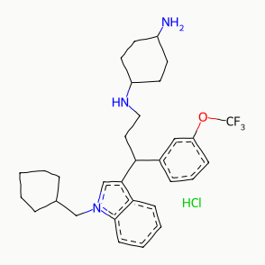 Cl.NC1CCC(NCCC(c2cccc(OC(F)(F)F)c2)c2cn(CC3CCCCC3)c3ccccc23)CC1